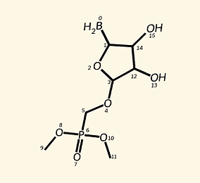 BC1OC(OCP(=O)(OC)OC)C(O)C1O